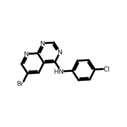 Clc1ccc(Nc2ncnc3ncc(Br)cc23)cc1